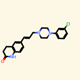 O=C1CCc2cc(/C=C/CN3CCN(c4cccc(Cl)c4)CC3)ccc2N1